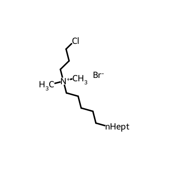 CCCCCCCCCCCC[N+](C)(C)CCCCl.[Br-]